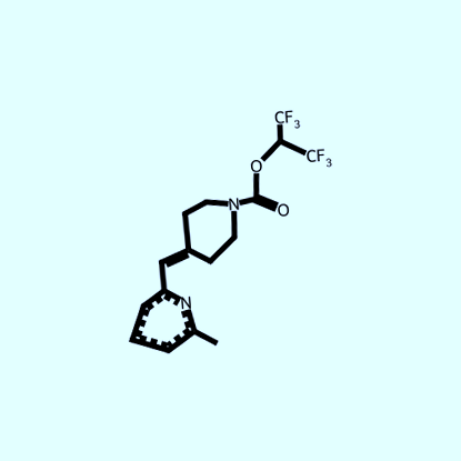 Cc1cccc(C=C2CCN(C(=O)OC(C(F)(F)F)C(F)(F)F)CC2)n1